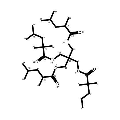 CCCC(C)(C)C(=O)OCC(COC(=O)C(C)CC(C)C)(COC(=O)C(C)CC(C)C)COC(=O)C(C)(C)CC(C)C